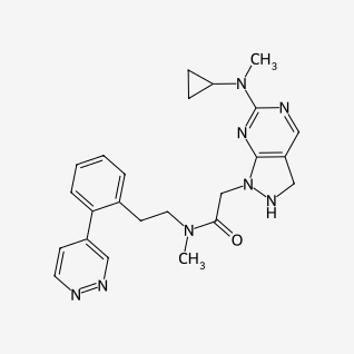 CN(CCc1ccccc1-c1ccnnc1)C(=O)CN1NCc2cnc(N(C)C3CC3)nc21